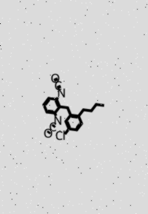 CCCCc1ccc(Cl)cc1Cc1c(N=C=O)cccc1N=C=O